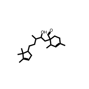 CC1=CC(C)C(C=O)(CC(O)C(C)CCC2CC=C(C)C2(C)C)CC1